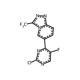 Fc1cnc(Cl)nc1-c1ccc2nnc(C(F)(F)F)n2c1